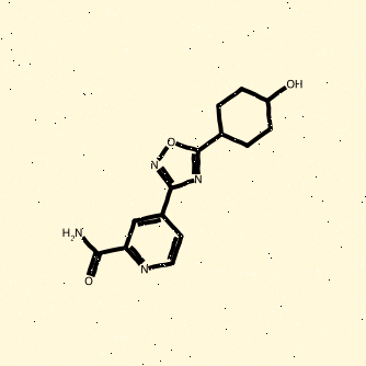 NC(=O)c1cc(-c2noc(C3CCC(O)CC3)n2)ccn1